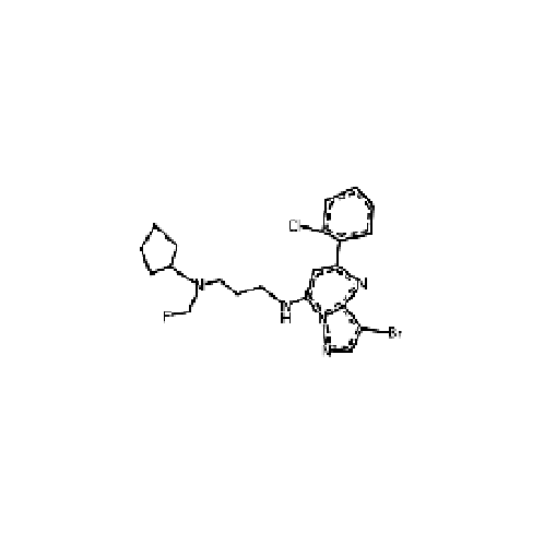 FCN(CCCNc1cc(-c2ccccc2Cl)nc2c(Br)cnn12)C1CCCC1